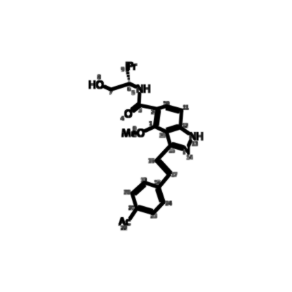 COc1c(C(=O)N[C@H](CO)C(C)C)ccc2[nH]nc(/C=C/c3ccc(C(C)=O)cc3)c12